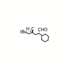 C=C(C[C@H](C=O)C1CCCCC1)CC(C)(C)C